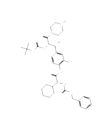 C[C@@H](c1ccc(NC(=O)[C@@H](NC(=O)OCc2ccccc2)C2CCCCC2)c(F)c1)[C@@H](NC(=O)OC(C)(C)C)C(=O)N1CCN(C)CC1